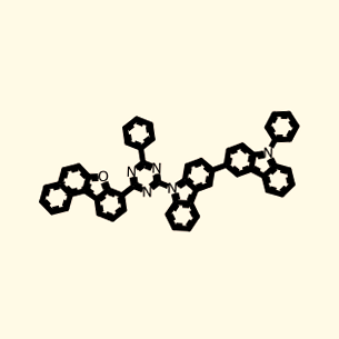 c1ccc(-c2nc(-c3cccc4c3oc3ccc5ccccc5c34)nc(-n3c4ccccc4c4cc(-c5ccc6c(c5)c5ccccc5n6-c5ccccc5)ccc43)n2)cc1